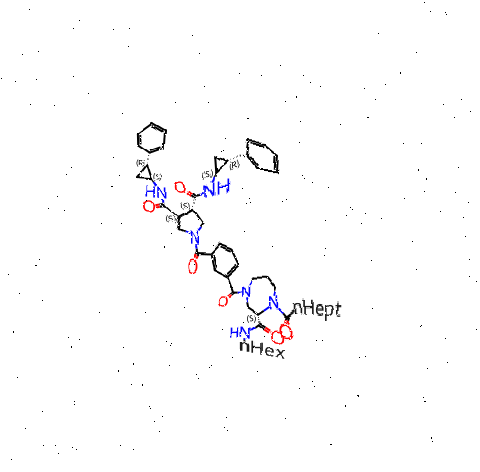 CCCCCCCC(=O)N1CCCN(C(=O)c2cccc(C(=O)N3C[C@@H](C(=O)N[C@H]4C[C@@H]4c4ccccc4)[C@H](C(=O)N[C@H]4C[C@@H]4c4ccccc4)C3)c2)C[C@H]1C(=O)NCCCCCC